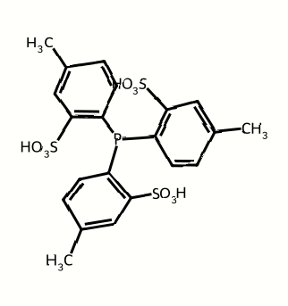 Cc1ccc(P(c2ccc(C)cc2S(=O)(=O)O)c2ccc(C)cc2S(=O)(=O)O)c(S(=O)(=O)O)c1